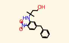 CC(C)(CCO)Nc1cc(Cc2ccccc2)ccc1[N+](=O)[O-]